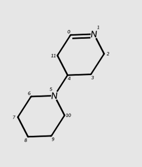 C1=NCCC(N2CCCCC2)C1